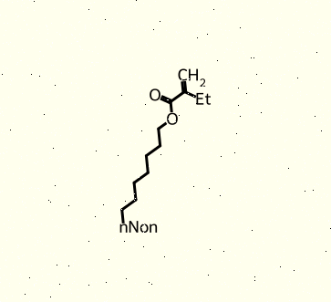 C=C(CC)C(=O)OCCCCCCCCCCCCCCCC